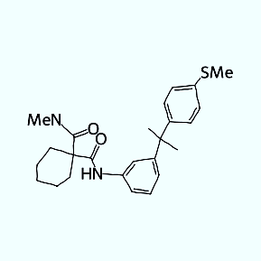 CNC(=O)C1(C(=O)Nc2cccc(C(C)(C)c3ccc(SC)cc3)c2)CCCCC1